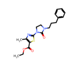 CCOC(=O)c1sc(N2CCN(CCCc3ccccc3)C2=O)nc1C